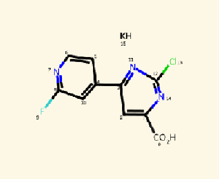 O=C(O)c1cc(-c2ccnc(F)c2)nc(Cl)n1.[KH]